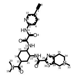 C#Cc1ccc(NC(=O)C(=O)NC2CCC(C(=O)N(C)C)CC2NC(=O)c2nc3c(s2)CN(C)CC3)nc1